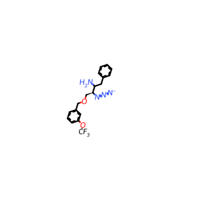 [N-]=[N+]=N[C@@H](COCc1cccc(OC(F)(F)F)c1)C(N)Cc1ccccc1